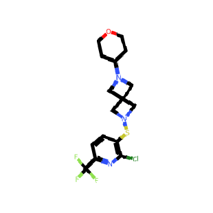 FC(F)(F)c1ccc(SN2CC3(C2)CN(C2CCOCC2)C3)c(Cl)n1